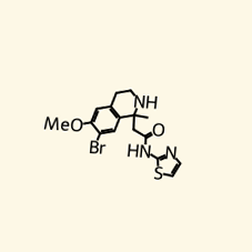 COc1cc2c(cc1Br)C(C)(CC(=O)Nc1nccs1)NCC2